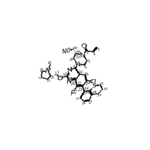 C=CC(=O)N1CCN(c2nc(OC[C@@H]3CCCN3C)nc3c(F)c(-c4cccc5c4SCCC5)c(Cl)cc23)C[C@@H]1CC#N